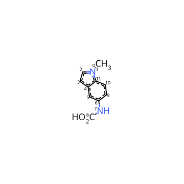 Cn1ccc2cc(NC(=O)O)ccc21